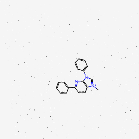 C[n+]1cn(-c2ccccc2)c2nc(-c3ccccc3)ccc21